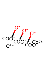 O=C([O-])[O-].O=C([O-])[O-].O=C([O-])[O-].[C+4].[Co+2]